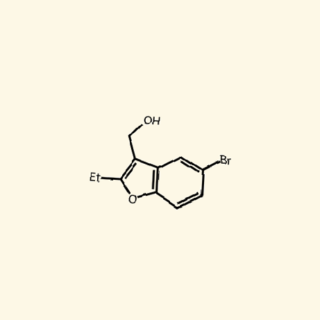 CCc1oc2ccc(Br)cc2c1CO